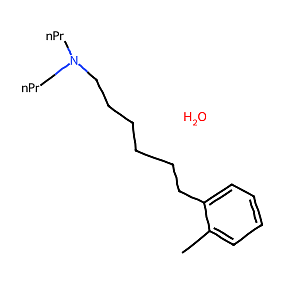 CCCN(CCC)CCCCCCc1ccccc1C.O